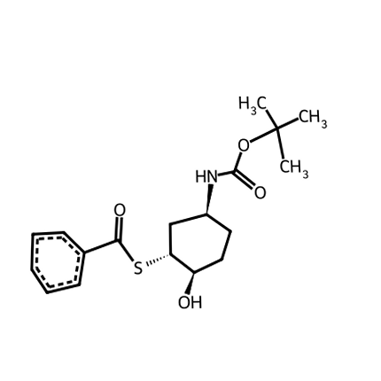 CC(C)(C)OC(=O)N[C@H]1CC[C@@H](O)[C@H](SC(=O)c2ccccc2)C1